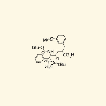 COc1cccc(CC(CC(O[Si](C)(C)C(C)(C)C)C(Cc2ccccc2)NC(=O)OC(C)(C)C)C(=O)O)c1